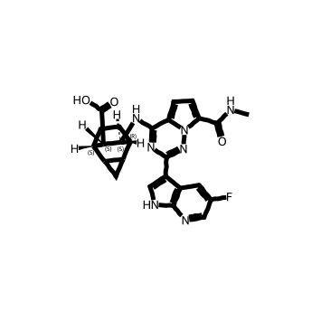 CNC(=O)c1ccc2c(N[C@@H]3[C@@H](C(=O)O)[C@H]4CC[C@@H]3C3CC34)nc(-c3c[nH]c4ncc(F)cc34)nn12